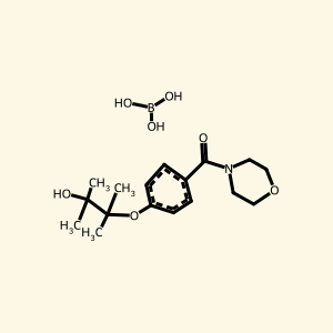 CC(C)(O)C(C)(C)Oc1ccc(C(=O)N2CCOCC2)cc1.OB(O)O